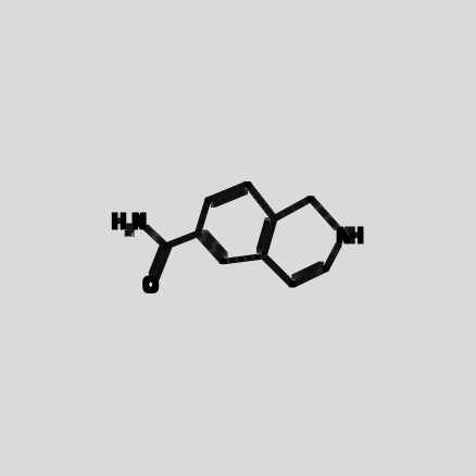 NC(=O)c1ccc2c(c1)C=CNC2